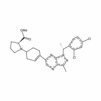 COC(=O)[C@@H]1CCCN1C1CC=C(c2cnc3c(C)nn([C@H](C)c4ccc(Cl)cc4Cl)c3n2)CC1